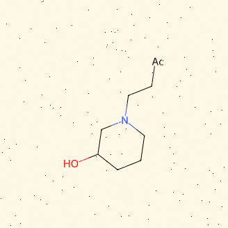 CC(=O)CCN1CCCC(O)C1